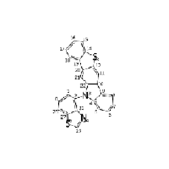 c1cc(-n2c3ccccc3c3cc4sc5ccccc5c4cc32)c2ncsc2c1